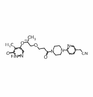 Cc1c(O[C@@H](C)COCCC(=O)N2CCN(c3ccc(CC#N)cn3)CC2)cn[nH]c1=O